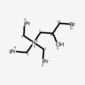 CC(C)C[N+](CC(C)C)(CC(C)C)CC(O)CBr